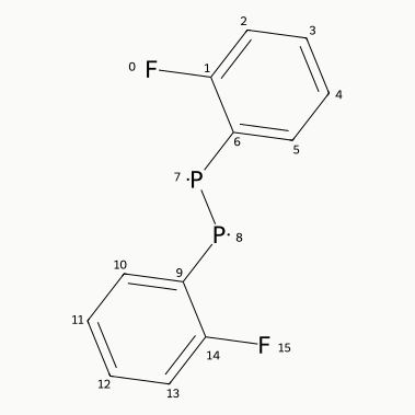 Fc1ccccc1[P][P]c1ccccc1F